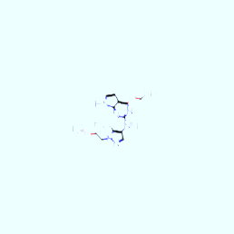 CCOc1nc(Nc2cnn(CCOC)c2C)nc2[nH]ccc12